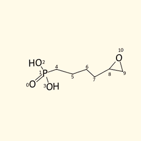 O=P(O)(O)CCCCC1CO1